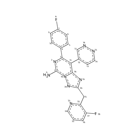 Nc1nc(-c2ccc(F)cc2)c(-c2ccnnc2)c2nc(Cc3ncccc3F)nn12